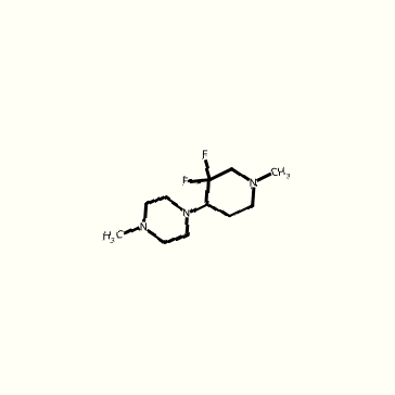 CN1CCN(C2CCN(C)CC2(F)F)CC1